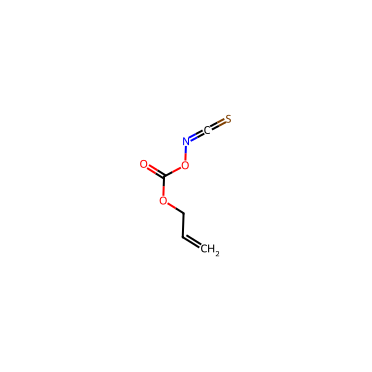 C=CCOC(=O)ON=C=S